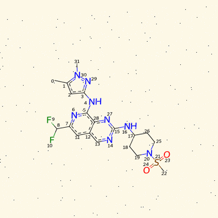 Cc1cc(Nc2nc(C(F)F)cc3cnc(NC4CCN(S(C)(=O)=O)CC4)nc23)nn1C